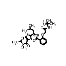 CC(C)C[C@@H](NC(=O)c1ccccc1OCC(=O)NC(C)(C)C)c1nc(C(=O)N(C)C(C)C)cs1